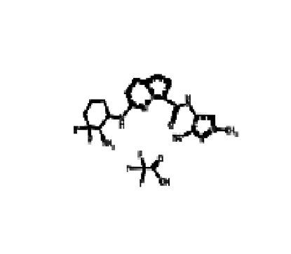 Cn1cc(NC(=O)c2ccc3ccc(N[C@@H]4CCCC(F)(F)[C@@H]4N)nn23)c(C#N)n1.O=C(O)C(F)(F)F